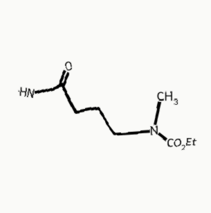 CCOC(=O)N(C)CCCC([NH])=O